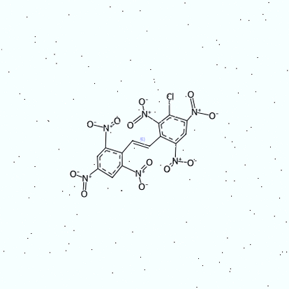 O=[N+]([O-])c1cc([N+](=O)[O-])c(/C=C/c2c([N+](=O)[O-])cc([N+](=O)[O-])c(Cl)c2[N+](=O)[O-])c([N+](=O)[O-])c1